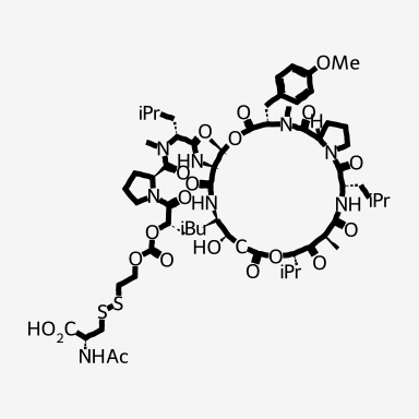 CC[C@H](C)[C@H]1NC(=O)[C@@H](NC(=O)[C@@H](CC(C)C)N(C)C(=O)[C@@H]2CCCN2C(=O)[C@H](C)OC(=O)OCCSSC[C@H](NC(C)=O)C(=O)O)[C@@H](C)OC(=O)[C@H](Cc2ccc(OC)cc2)N(C)C(=O)[C@@H]2CCCN2C(=O)[C@H](CC(C)C)NC(=O)[C@@H](C)C(=O)[C@H](C(C)C)OC(=O)C[C@@H]1O